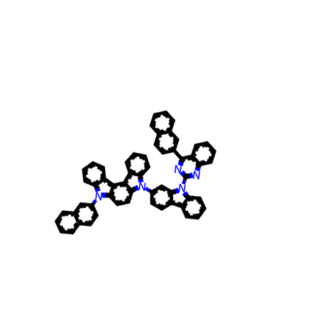 c1ccc2cc(-c3nc(-n4c5ccccc5c5ccc(-n6c7ccccc7c7c8c9ccccc9n(-c9ccc%10ccccc%10c9)c8ccc76)cc54)nc4ccccc34)ccc2c1